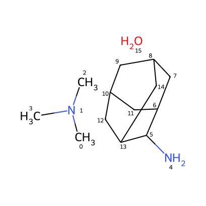 CN(C)C.NC1C2CC3CC(C2)CC1C3.O